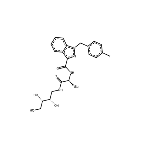 CC(C)(C)[C@H](NC(=O)c1nn(Cc2ccc(F)cc2)c2ccccc12)C(=O)NC[C@H](O)[C@@H](O)CO